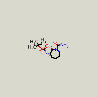 CC(C)(C)OC(=O)N[C@H]1CCCCN(C(N)=O)C1=O